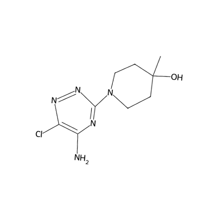 CC1(O)CCN(c2nnc(Cl)c(N)n2)CC1